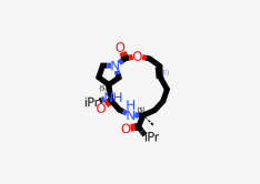 CC(C)N[C@@]12CCN(C1)C(=O)OC/C=C/CCC[C@@](C)(C(=O)C(C)C)NCC2=O